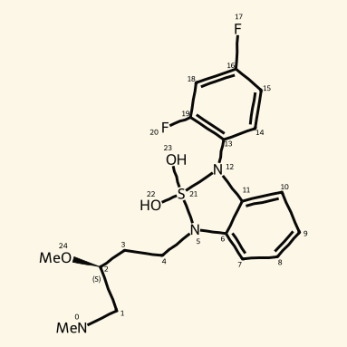 CNC[C@H](CCN1c2ccccc2N(c2ccc(F)cc2F)S1(O)O)OC